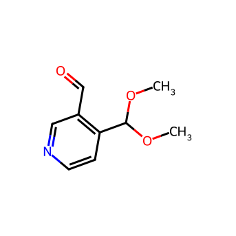 COC(OC)c1ccncc1C=O